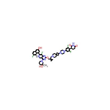 CCc1c(F)ccc2cc(O)cc(-c3ncc4c(N5CCC[C@@](C)(O)C5)nc(OCC5(CN6CCC7(CC6)CC(N6CCN(c8cc(F)c(C9CCC(=O)NC9=O)c(F)c8)CC6)C7)CC5)nc4c3F)c12